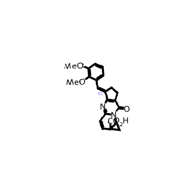 COc1cccc(/C=C2\CCc3c2nc2n(c3=O)C3CC3(C(=O)O)C=C2)c1OC